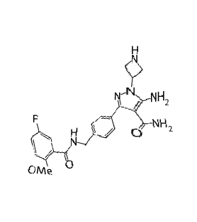 COc1ccc(F)cc1C(=O)NCc1ccc(-c2nn(C3CNC3)c(N)c2C(N)=O)cc1